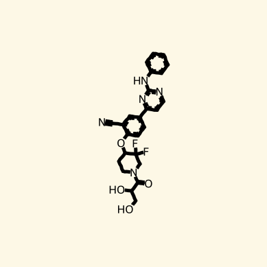 N#Cc1cc(-c2ccnc(Nc3ccccc3)n2)ccc1OC1CCN(C(=O)C(O)CO)CC1(F)F